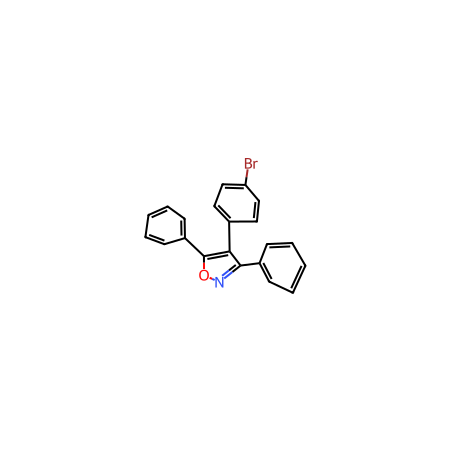 Brc1ccc(-c2c(-c3ccccc3)noc2-c2ccccc2)cc1